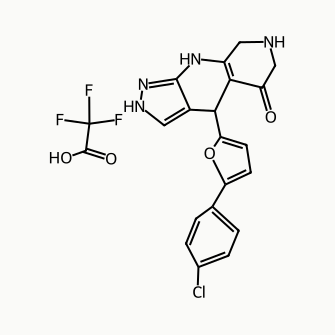 O=C(O)C(F)(F)F.O=C1CNCC2=C1C(c1ccc(-c3ccc(Cl)cc3)o1)c1c[nH]nc1N2